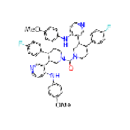 COc1ccc(Nc2ccncc2C2CN(C(=O)N3CCC(c4ccc(F)cc4)C(c4cnccc4Nc4ccc(OC)cc4)C3)CCC2c2ccc(F)cc2)cc1